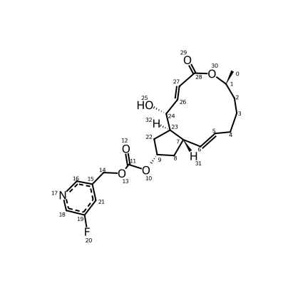 C[C@H]1CCC/C=C/[C@@H]2C[C@H](OC(=O)OCc3cncc(F)c3)C[C@H]2[C@H](O)/C=C/C(=O)O1